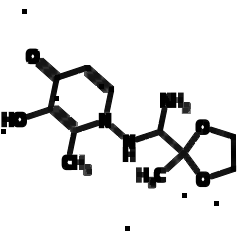 Cc1c(O)c(=O)ccn1NC(N)C1(C)OCCO1